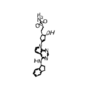 NS(=O)(=O)CC[C@@H]1CC(n2ccc3c(N[C@H]4CCc5ccccc54)ncnc32)=C[C@@H]1O